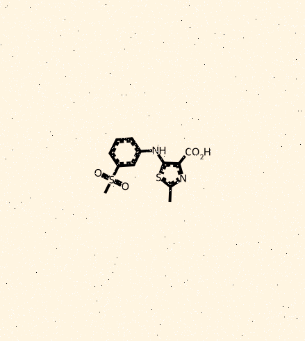 Cc1nc(C(=O)O)c(Nc2cccc(S(C)(=O)=O)c2)s1